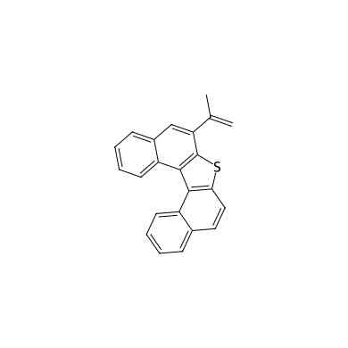 C=C(C)c1cc2ccccc2c2c1sc1ccc3ccccc3c12